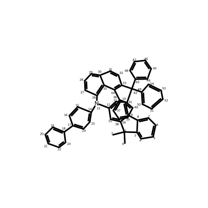 CC1(C)c2ccccc2-c2ccc(N(c3ccc(-c4ccccc4)cc3)c3cccc4ccc5c(c34)-c3ccccc3C5(c3ccccc3)c3ccccc3)cc21